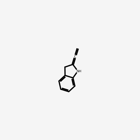 C=C=C1Cc2ccccc2N1